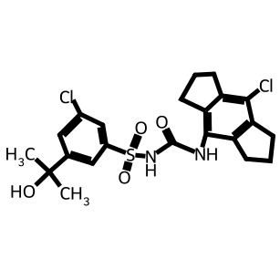 CC(C)(O)c1cc(Cl)cc(S(=O)(=O)NC(=O)Nc2c3c(c(Cl)c4c2CCC4)CCC3)c1